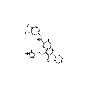 O=c1c(-c2cccnc2)nc2cnc(NCc3ccc(Cl)c(Cl)c3)nc2n1CCc1nc[nH]n1